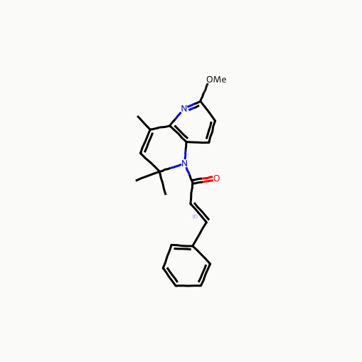 COc1ccc2c(n1)C(C)=CC(C)(C)N2C(=O)/C=C/c1ccccc1